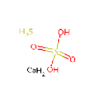 O=S(=O)(O)O.S.[CaH2]